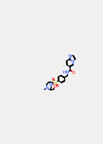 CN1CC2COCC1CN2S(=O)(=O)c1ccc(CNC(=O)c2ccc3nccn3c2)cc1